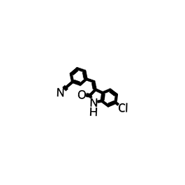 N#Cc1cccc(/C=C2\C(=O)Nc3cc(Cl)ccc32)c1